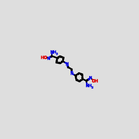 NC(=NO)c1ccc(N=CC=Nc2ccc(C(N)=NO)cc2)cc1